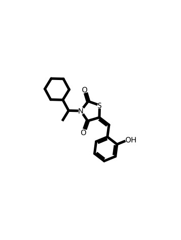 CC(C1CCCCC1)N1C(=O)SC(=Cc2ccccc2O)C1=O